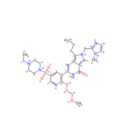 CCCc1c2nc(-c3cc(S(=O)(=O)N4CCN(CC)CC4)cnc3OCCOC)[nH]c(=O)c2nn1Cc1nccn1C